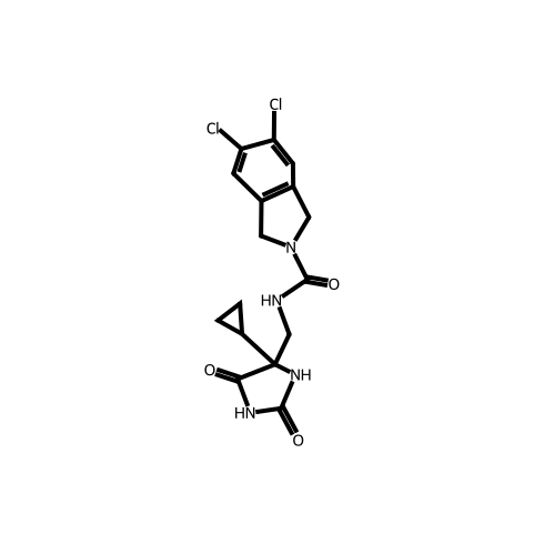 O=C1NC(=O)C(CNC(=O)N2Cc3cc(Cl)c(Cl)cc3C2)(C2CC2)N1